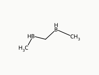 CBCBC